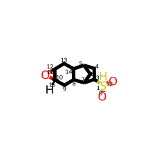 O=[SH](=O)C1CC2CC1C1C[C@@H]3OC3CC21